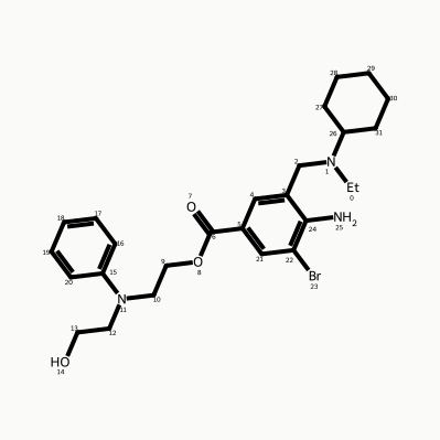 CCN(Cc1cc(C(=O)OCCN(CCO)c2ccccc2)cc(Br)c1N)C1CCCCC1